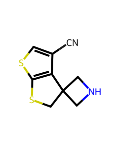 N#Cc1csc2c1C1(CNC1)CS2